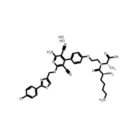 C[C@@H](C(=O)O)N(CCOc1ccc(-c2c(C#N)c(N)nc(SCc3csc(-c4ccc(Cl)cc4)n3)c2C#N)cc1)C(=O)[C@@H](N)CCCCN.Cl.Cl